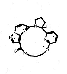 O=C1NCCCOc2cccc(n2)[C@H]2CCCN2c2ccn3ncc1c3n2